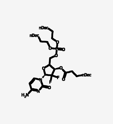 CCCCCCCCCCCCOP(=O)(OCCCCCCCCCCCC)OCC1O[C@@H](n2ccc(N)nc2=O)C(F)(F)[C@@H]1OC(=O)CCCCCCCCCCCC